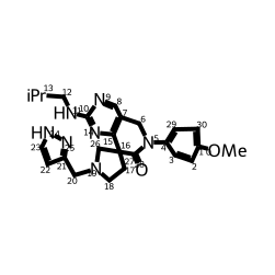 COc1ccc(N2Cc3cnc(NCC(C)C)nc3C3(CCN(Cc4cc[nH]n4)C3)C2=O)cc1